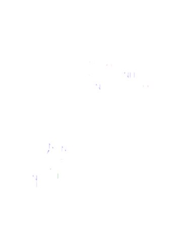 O=C1CCC(N2C(=O)c3cccc4c(Cc5cnn([C@@H]6CCNCC6(F)F)c5)ccc2c34)C(=O)N1